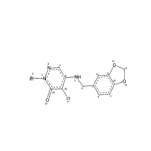 CC(C)n1ncc(NCc2ccc3c(c2)OCO3)c(Cl)c1=O